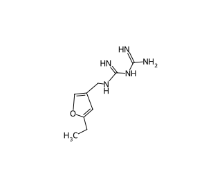 CCc1cc(CNC(=N)NC(=N)N)co1